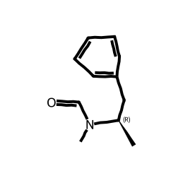 C[C@H](Cc1ccccc1)N(C)C=O